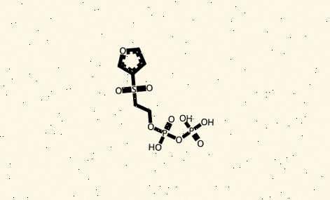 O=P(O)(O)OP(=O)(O)OCCS(=O)(=O)c1ccoc1